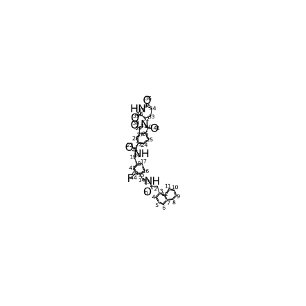 O=C(Cc1cccc2ccccc12)NCc1ccc(CNC(=O)c2ccc3c(c2)C(=O)N(C2CCC(=O)NC2=O)C3=O)cc1F